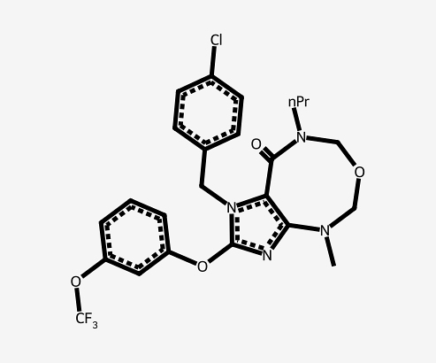 CCCN1COCN(C)c2nc(Oc3cccc(OC(F)(F)F)c3)n(Cc3ccc(Cl)cc3)c2C1=O